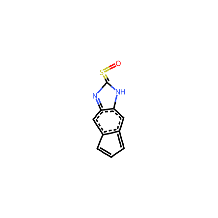 O=S=C1N=c2cc3c(cc2N1)=CC=C3